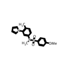 COc1ccc(S(=O)(=O)N(C)c2ccc(C)c(-n3cccc3)c2)cc1